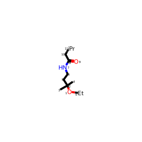 CCOC(C)(C)CCNC(=O)CC(C)C